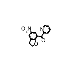 O=C(c1ccccn1)c1cc([N+](=O)[O-])cc2c1OCC2